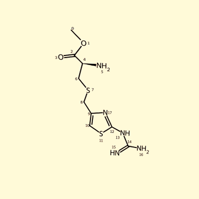 COC(=O)[C@@H](N)CSCc1csc(NC(=N)N)n1